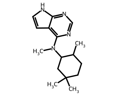 CC1CCC(C)(C)CC1N(C)c1ncnc2[nH]ccc12